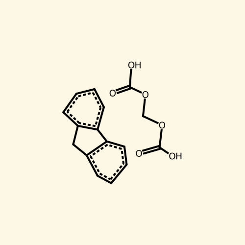 O=C(O)OCOC(=O)O.c1ccc2c(c1)Cc1ccccc1-2